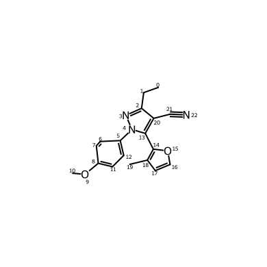 CCc1nn(-c2ccc(OC)cc2)c(-c2occc2C)c1C#N